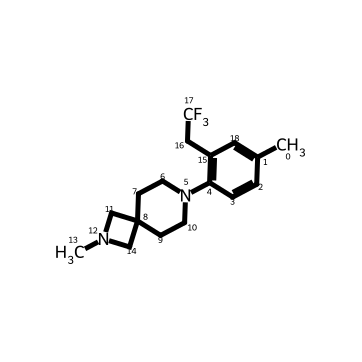 Cc1ccc(N2CCC3(CC2)CN(C)C3)c(CC(F)(F)F)c1